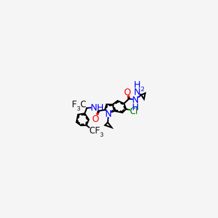 NC1(NC(=O)c2cc3cc(C(=O)NC(c4cccc(C(F)(F)F)c4)C(F)(F)F)n(C4CC4)c3cc2Cl)CC1